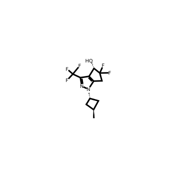 C[C@H]1C[C@H](n2nc(C(F)(F)F)c3c2CC(F)(F)[C@H]3O)C1